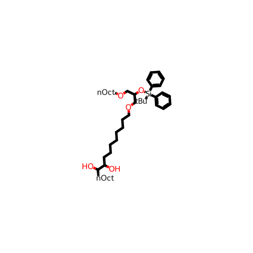 CCCCCCCCOCC(COCCCCCCCCC(O)C(O)CCCCCCCC)O[Si](c1ccccc1)(c1ccccc1)C(C)(C)C